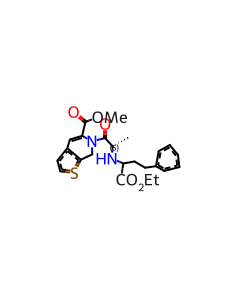 CCOC(=O)C(CCc1ccccc1)N[C@@H](C)C(=O)N1Cc2sccc2C=C1C(=O)OC